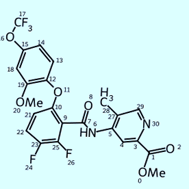 COC(=O)c1cc(NC(=O)c2c(Oc3ccc(OC(F)(F)F)cc3OC)ccc(F)c2F)c(C)cn1